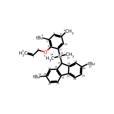 C=CCOc1c(C(C)(C)C)cc(C)cc1[Si](C)(C)C1c2cc(C(C)(C)C)ccc2-c2ccc(C(C)(C)C)cc21